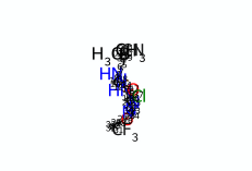 CC1(C)CC(CCCNc2cccc(SNC(=O)c3ccc(-n4ccc(OCCCC5(C(F)(F)F)CC5)n4)nc3Cl)n2)CB1C#N